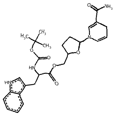 CC(C)(C)OC(=O)NC(Cc1c[nH]c2ccccc12)C(=O)OCC1CCC(N2C=CCC(C(N)=O)=C2)O1